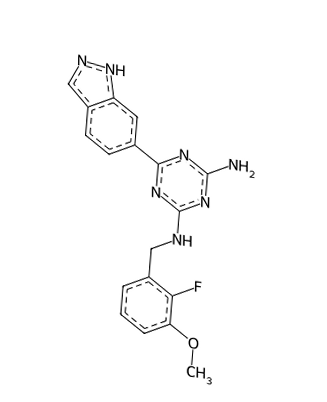 COc1cccc(CNc2nc(N)nc(-c3ccc4cn[nH]c4c3)n2)c1F